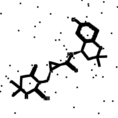 CC1(C)CC(=O)N(C[C@@H]2C[C@H]2C(=O)N[C@H]2CC(C)(C)Oc3ccc(Cl)cc32)C(=N)N1